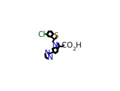 O=C(O)Cc1cn(CC2CSc3ccc(Cl)cc32)c2cc(-c3ncccn3)ccc12